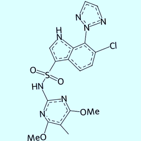 COc1nc(NS(=O)(=O)c2c[nH]c3c(-n4nccn4)c(Cl)ccc23)nc(OC)c1C